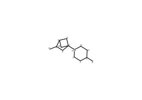 CC1CCN(C23CC(C)C(C2)C3)CC1